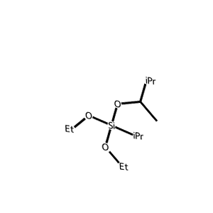 CCO[Si](OCC)(OC(C)C(C)C)C(C)C